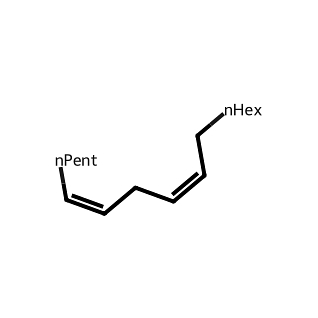 [CH2]CCCCCC/C=C\C/C=C\CCCCC